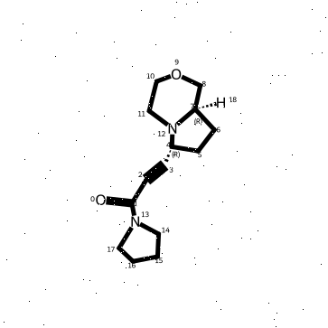 O=C(C#C[C@H]1CC[C@@H]2COCCN21)N1CCCC1